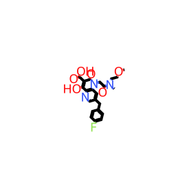 COCCN(C)C(=O)Cn1c(=O)c(C(=O)O)c(O)c2ncc(Cc3ccc(F)cc3)cc21